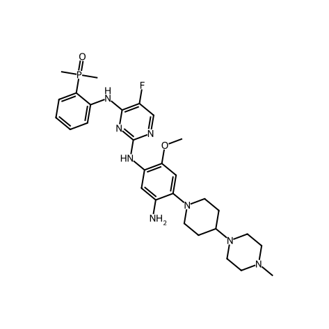 COc1cc(N2CCC(N3CCN(C)CC3)CC2)c(N)cc1Nc1ncc(F)c(Nc2ccccc2P(C)(C)=O)n1